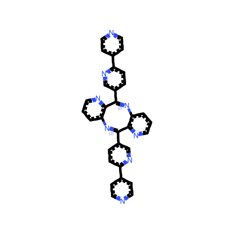 c1cnc2c(c1)/N=C(/c1ccc(-c3ccncc3)nc1)c1ncccc1/N=C\2c1ccc(-c2ccncc2)nc1